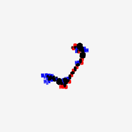 COC(=O)Nc1cccc2c1C(=O)c1c-2n[nH]c1-c1ccc(OCC(=O)NCCOCCOCCOCCNC(=O)C(C[C@H](NC(=O)c2ccc(N(C)Cc3cnc4nc(N)nc(N)c4n3)cc2)C(=O)O)C(C)(C)C)cc1